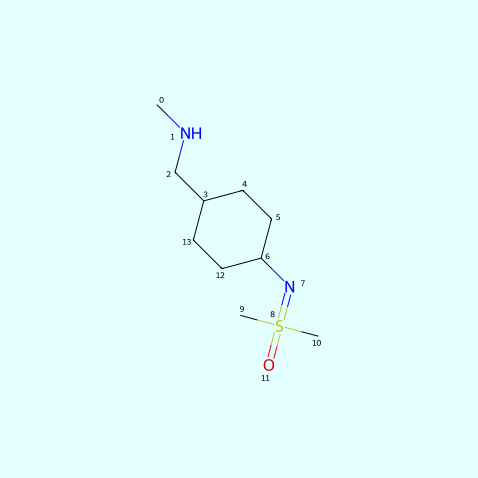 CNCC1CCC(N=S(C)(C)=O)CC1